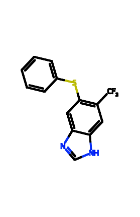 FC(F)(F)c1cc2[nH]cnc2cc1Sc1ccccc1